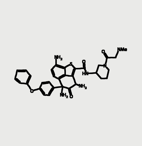 CNCC(=O)N1CCCC(NC(=O)c2sc3c(N)ccc4c3c2C(N)C(=O)C4(N)c2ccc(Oc3ccccc3)cc2)C1